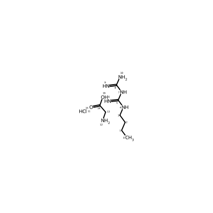 CCCCNC(=N)NC(=N)N.Cl.NCC(=O)O